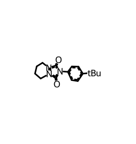 CC(C)(C)c1ccc(-n2c(=O)n3n(c2=O)CCCC3)cc1